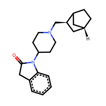 O=C1Cc2ccccc2N1C1CCN(C[C@@H]2C[C@H]3CCC2C3)CC1